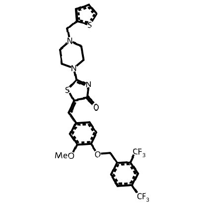 COc1cc(C=C2SC(N3CCN(Cc4cccs4)CC3)=NC2=O)ccc1OCc1ccc(C(F)(F)F)cc1C(F)(F)F